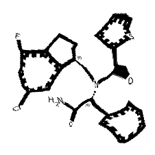 NC(=O)[C@@H](c1ccccc1)N(C(=O)c1cccs1)[C@@H]1CCc2c(F)cc(Cl)cc21